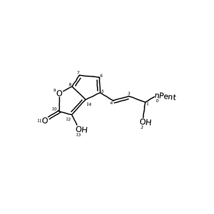 CCCCCC(O)/C=C/C1=CC=C2OC(=O)C(O)=C12